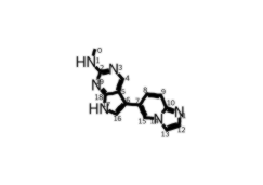 CNc1ncc2c(-c3ccc4nccn4c3)c[nH]c2n1